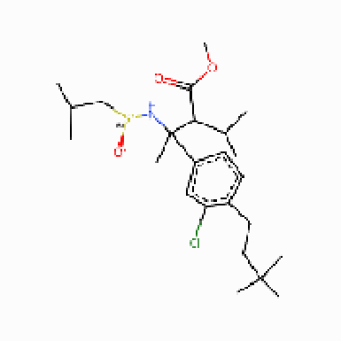 COC(=O)C(C(C)C)C(C)(N[S@@+]([O-])CC(C)C)c1ccc(CCC(C)(C)C)c(Cl)c1